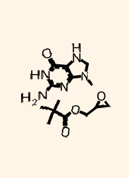 CC(C)(C)C(=O)OCC1CO1.CN1CNc2c1nc(N)[nH]c2=O